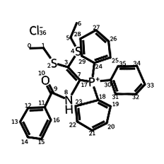 CCSC(SCC)=C(NC(=O)c1ccccc1)[P+](c1ccccc1)(c1ccccc1)c1ccccc1.[Cl-]